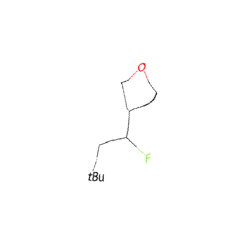 CC(C)(C)CC(F)C1COC1